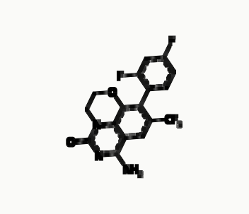 Nc1nc(=O)n2c3c(c(-c4ccc(F)cc4F)c(C(F)(F)F)cc13)OCC2